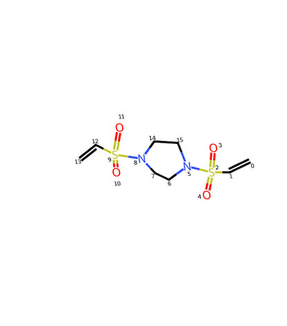 C=CS(=O)(=O)N1CCN(S(=O)(=O)C=C)CC1